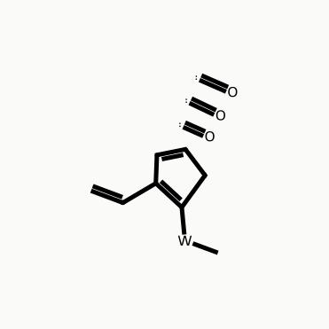 C=CC1=[C]([W][CH3])CC=C1.[C]=O.[C]=O.[C]=O